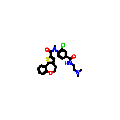 CN(C)CCNC(=O)c1ccc(N(C)C(=O)c2cc3c(s2)-c2ccccc2OCC3)c(Cl)c1